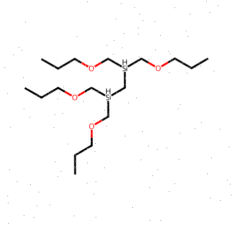 CCCOC[SiH](COCCC)C[SiH](COCCC)COCCC